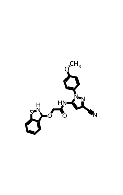 COc1ccc(-n2nc(C#N)cc2NC(=O)COC2NSc3ccccc32)cc1